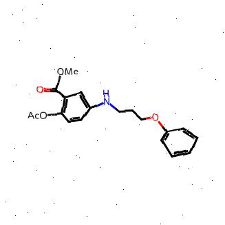 COC(=O)c1cc(NCCCOc2ccccc2)ccc1OC(C)=O